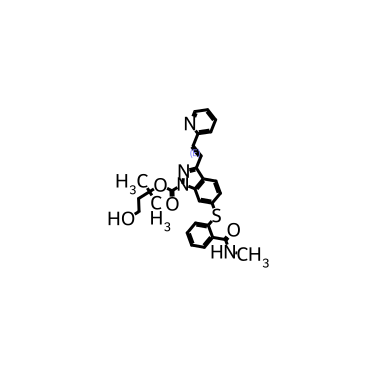 CNC(=O)c1ccccc1Sc1ccc2c(/C=C/c3ccccn3)nn(C(=O)OC(C)(C)CCO)c2c1